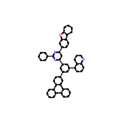 c1ccc(-c2nc(-c3cc(-c4ccc5c6ccccc6c6ccccc6c5c4)cc(-c4cccc5ncccc45)c3)cc(-c3ccc4c(c3)oc3ccccc34)n2)cc1